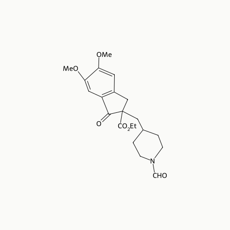 CCOC(=O)C1(CC2CCN(C=O)CC2)Cc2cc(OC)c(OC)cc2C1=O